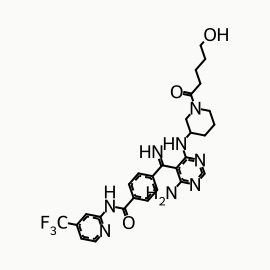 N=C(c1ccc(C(=O)Nc2cc(C(F)(F)F)ccn2)cc1)c1c(N)ncnc1NC1CCCN(C(=O)CCCCO)C1